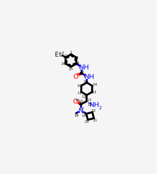 CCc1ccc(NC(=O)NC2CCC([C@H](N)C(=O)N(C)C3CCC3)CC2)cc1